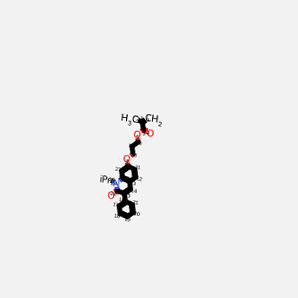 C=C(C)C(=O)OCCCOc1ccc2cc(-c3ccccc3)c(=O)n(C(C)C)c2c1